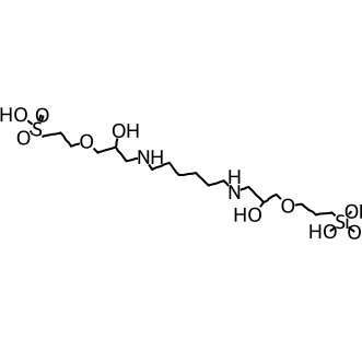 O=S(=O)(O)CCCOCC(O)CNCCCCCCNCC(O)COCCC[Si](O)(O)O